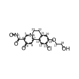 O=NC(=O)c1cn2c(cc1=O)-c1cc(Cl)c(OCCO)cc1CC2